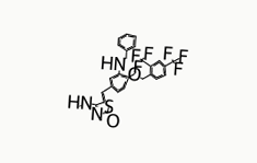 CNC1=NC(=O)S/C1=C\c1ccc(OCc2ccc(C(F)(F)F)cc2C(F)(F)F)c(NCc2ccccc2)c1